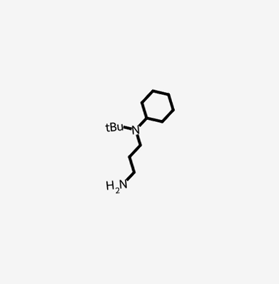 CC(C)(C)N(CCCN)C1CCCCC1